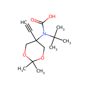 C#CC1(N(C(=O)O)C(C)(C)C)COC(C)(C)OC1